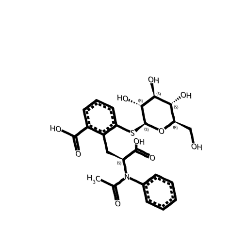 CC(=O)N(c1ccccc1)[C@@H](Cc1c(S[C@@H]2O[C@H](CO)[C@@H](O)[C@H](O)[C@H]2O)cccc1C(=O)O)C(=O)O